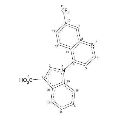 O=C(O)c1cn(-c2ccnc3cc(C(F)(F)F)ccc23)c2ccccc12